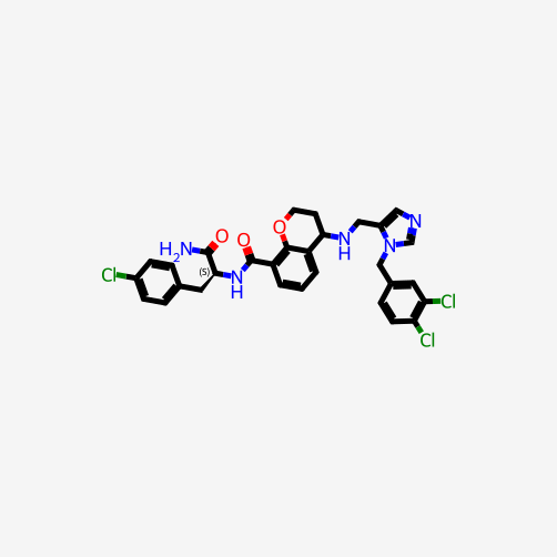 NC(=O)[C@H](Cc1ccc(Cl)cc1)NC(=O)c1cccc2c1OCCC2NCc1cncn1Cc1ccc(Cl)c(Cl)c1